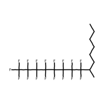 CCCCCCC(C)C(F)(F)C(F)(F)C(F)(F)C(F)(F)C(F)(F)C(F)(F)C(F)(F)C(F)(F)F